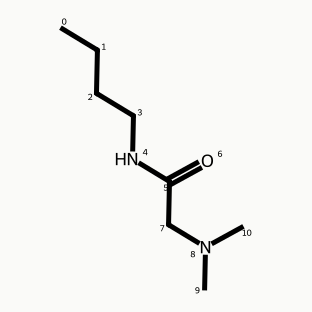 CCCCNC(=O)CN(C)C